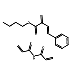 C=C(C=Cc1ccccc1)C(=O)OCCCC.C=CC(=O)NC(=O)C=C